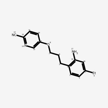 CCc1ccc(CCCOc2ccc(C#N)nc2)c(N)c1